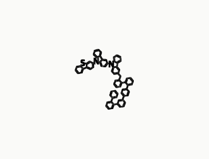 c1ccc(-c2ccccc2-c2cccc(-c3ccc(-c4ccccc4-c4ccccc4Cc4ccc5c(c4)c4ccccc4n5-c4ccc5c(c4)c4ccccc4n5-c4ccc5c(c4)sc4ccccc45)cc3)c2)cc1